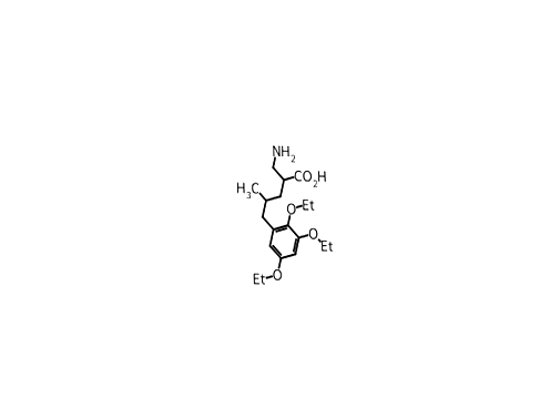 CCOc1cc(CC(C)CC(CN)C(=O)O)c(OCC)c(OCC)c1